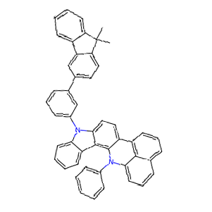 CC1(C)c2ccccc2-c2cc(-c3cccc(-n4c5ccccc5c5c6c(ccc54)-c4cccc5cccc(c45)N6c4ccccc4)c3)ccc21